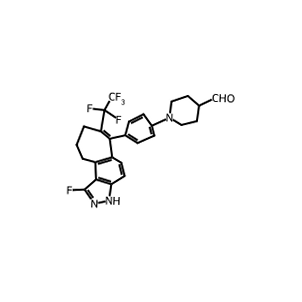 O=CC1CCN(c2ccc(C3=C(C(F)(F)C(F)(F)F)CCCc4c3ccc3[nH]nc(F)c43)cc2)CC1